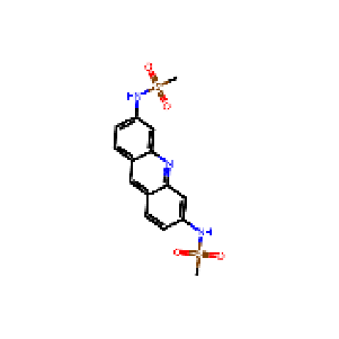 CS(=O)(=O)Nc1ccc2cc3ccc(NS(C)(=O)=O)cc3nc2c1